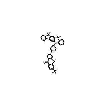 CC(C)(C)c1ccc2c(c1)C(C)(C)c1cc(-c3ccc(N4c5ccccc5C(C)(C)c5cc6c(cc54)-c4ccccc4C6(C)C)cc3)ccc1C2=O